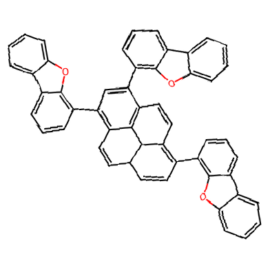 C1=CC2C=Cc3c(-c4cccc5c4oc4ccccc45)cc(-c4cccc5c4oc4ccccc45)c4c3C2C(=C1c1cccc2c1oc1ccccc12)C=C4